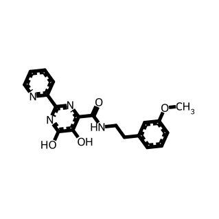 COc1cccc(CCNC(=O)c2nc(-c3ccccn3)nc(O)c2O)c1